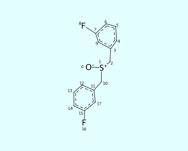 [O-][S+](Cc1cccc(F)c1)Cc1cccc(F)c1